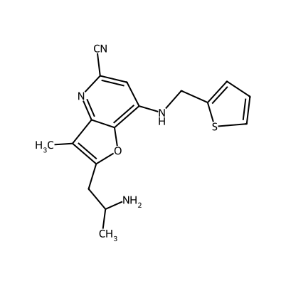 Cc1c(CC(C)N)oc2c(NCc3cccs3)cc(C#N)nc12